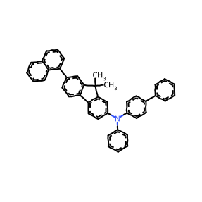 CC1(C)c2cc(-c3cccc4ccccc34)ccc2-c2ccc(N(c3ccccc3)c3ccc(-c4ccccc4)cc3)cc21